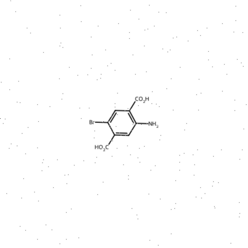 Nc1cc(C(=O)O)c(Br)cc1C(=O)O